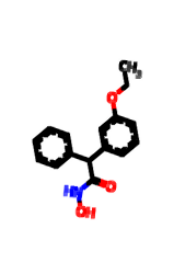 CCOc1cccc(C(C(=O)NO)c2ccccc2)c1